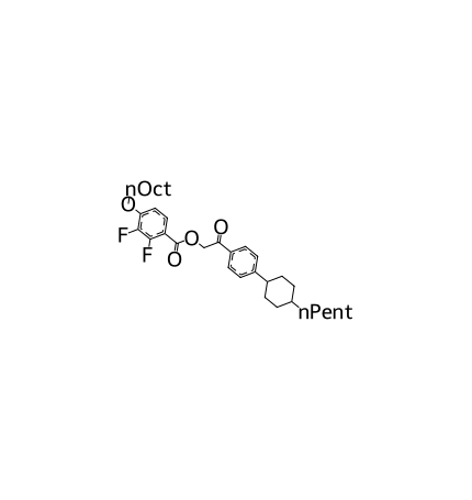 CCCCCCCCOc1ccc(C(=O)OCC(=O)c2ccc(C3CCC(CCCCC)CC3)cc2)c(F)c1F